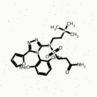 COc1cccc(OC)c1-n1c(-c2ccco2)nnc1N(CCS(C)(C)C)S(=O)(=O)CCC(N)=O